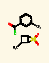 CC1CC2C1S2(=O)=O.O=C(Cl)c1cccc(C(F)(F)F)c1